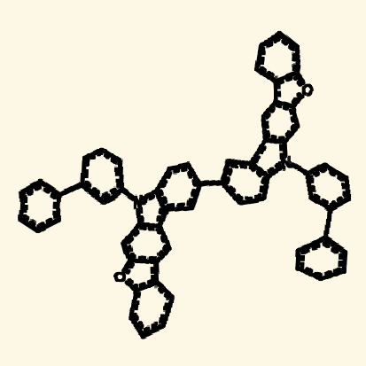 c1ccc(-c2cccc(-n3c4ccc(-c5ccc6c(c5)c5cc7c(cc5n6-c5cccc(-c6ccccc6)c5)oc5ccccc57)cc4c4cc5c(cc43)oc3ccccc35)c2)cc1